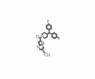 C#Cc1cnc2cc(C(=O)N3CCC(=C(c4ccc(F)cc4)c4ccc(F)cc4)CC3)nn2c1